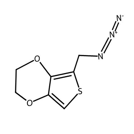 [N-]=[N+]=NCc1scc2c1OCCO2